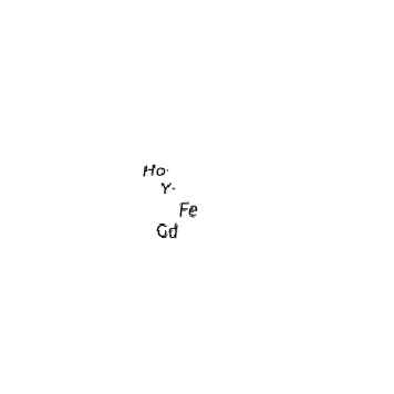 [Fe].[Gd].[Ho].[Y]